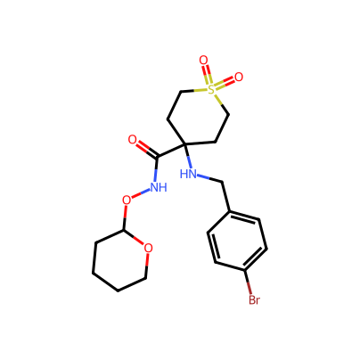 O=C(NOC1CCCCO1)C1(NCc2ccc(Br)cc2)CCS(=O)(=O)CC1